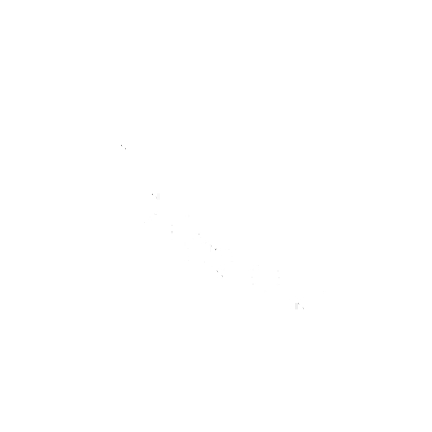 CCN(CC)CCCNC(=O)c1ccc2c(c1)sc1nc(-c3ccc([C@@H]4CCCN4)cc3)cn12